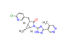 Cc1cnncc1-c1n[nH]c(N2C(=O)[C@H](Cc3ccc(Cl)nc3)[C@@H]3[C@H](C)[C@@H]32)n1